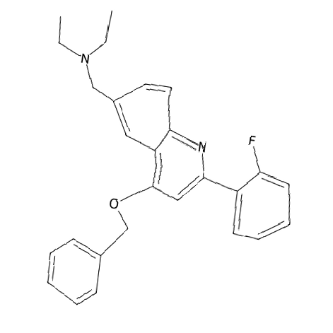 CCN(CC)Cc1ccc2nc(-c3ccccc3F)cc(OCc3ccccc3)c2c1